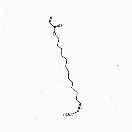 C=CC(=O)OCCCCCCCCCCCC/C=C\CCCCCCCC